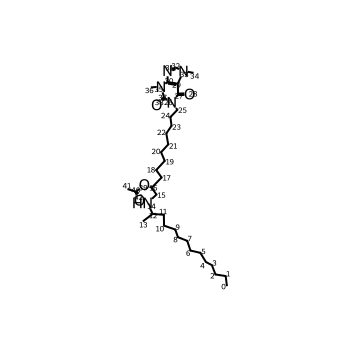 CCCCCCCCCCCCC(C)NCC(CCCCCCCCCn1c(=O)c2c(ncn2C)n(C)c1=O)OC(C)=O